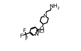 Cl.NCCN1CCC(Oc2ccc(C(F)(F)F)cn2)CC1